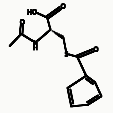 CC(=O)N[C@@H](CSC(=O)c1ccccc1)C(=O)O